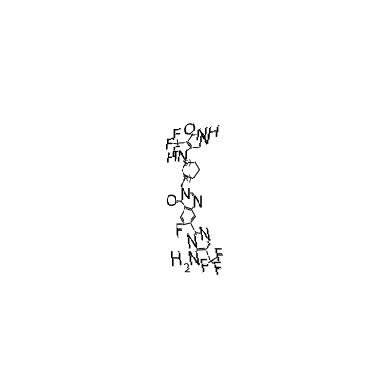 Nc1nc(-c2cc3ncn(C[C@@H]4CCC[C@H](Nc5cn[nH]c(=O)c5C(F)(F)F)C4)c(=O)c3cc2F)ncc1C(F)(F)F